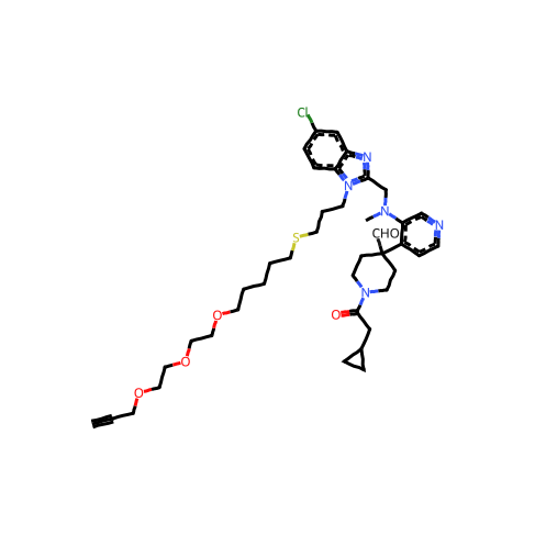 C#CCOCCOCCOCCCCCSCCCn1c(CN(C)c2cnccc2C2(C=O)CCN(C(=O)CC3CC3)CC2)nc2cc(Cl)ccc21